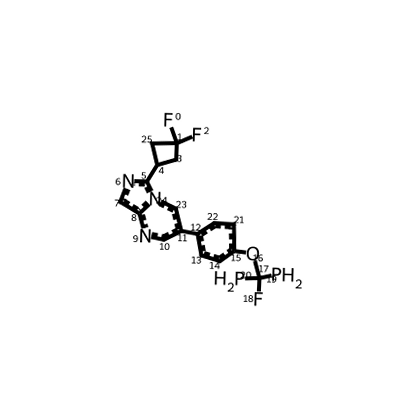 FC1(F)CC(c2ncc3ncc(-c4ccc(OC(F)(P)P)cc4)cn23)C1